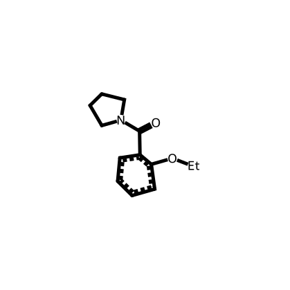 CCOc1ccccc1C(=O)N1CCCC1